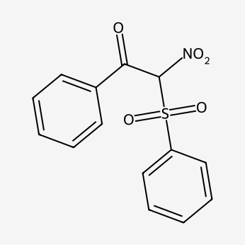 O=C(c1ccccc1)C([N+](=O)[O-])S(=O)(=O)c1ccccc1